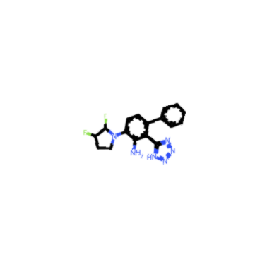 Nc1c(N2CCC(F)C2F)ccc(-c2ccccc2)c1-c1nnn[nH]1